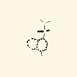 CN(C)S(=O)(=O)c1ccc(Cl)c2nsnc12